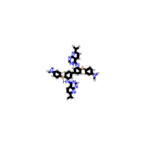 CC(C)c1ccc2c(Nc3cc(-c4ccc(Sc5ccc(N(C)C)cc5)c(Nc5ncnc6nc(C(C)C)ccc56)c4)ccc3Sc3ccc(N(C)C)cc3)ncnc2n1